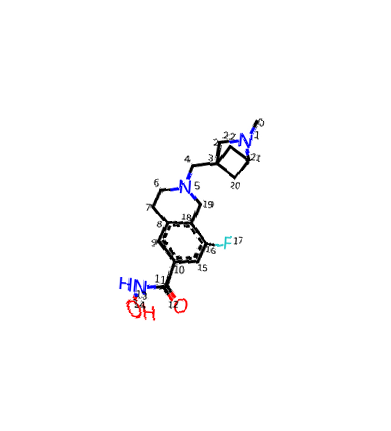 CN1CC2(CN3CCc4cc(C(=O)NO)cc(F)c4C3)CC1C2